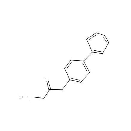 CCOC(=O)CC(=O)Cc1ccc(-c2ccccc2)cc1